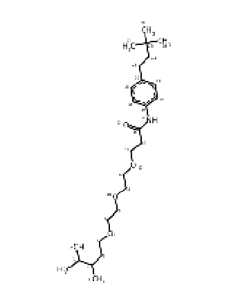 CC(C)C(C)CCOCCOCCOCCC(=O)Nc1ccc(CCC(C)(C)C)cc1